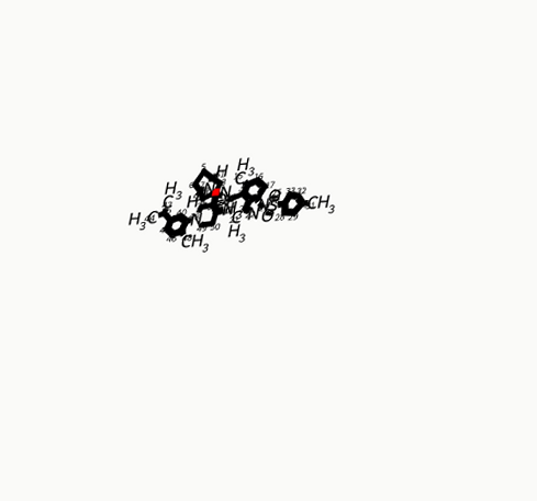 CO[C@H]1C[C@H]2CC[C@@H](C1)N2c1nc(-c2c(C)ccc3c2c(C)nn3S(=O)(=O)c2ccc(C)cc2)nc2c1CN(c1cc(C(C)C)ccc1C)CC2